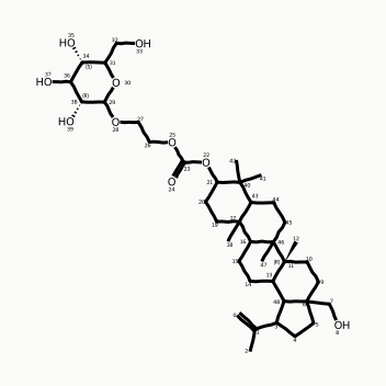 C=C(C)C1CCC2(CO)CC[C@]3(C)C(CCC4C5(C)CCC(OC(=O)OCCOC6OC(CO)[C@@H](O)C(O)[C@H]6O)C(C)(C)C5CCC43C)C12